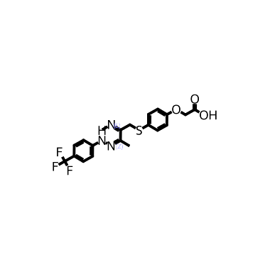 C/N=C(CSc1ccc(OCC(=O)O)cc1)\C(C)=N/Nc1ccc(C(F)(F)F)cc1